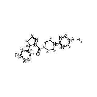 Cc1cnc(N2CCC(C(=O)N3N=CCC3c3cncc(F)c3)CC2)nc1